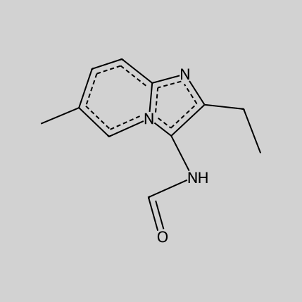 CCc1nc2ccc(C)cn2c1NC=O